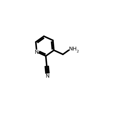 N#Cc1ncccc1CN